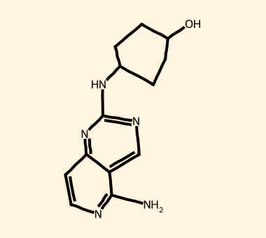 Nc1nccc2nc(NC3CCC(O)CC3)ncc12